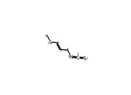 CS/C=C/CN=C=S